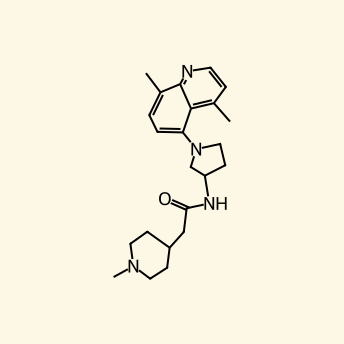 Cc1ccc(N2CCC(NC(=O)CC3CCN(C)CC3)C2)c2c(C)ccnc12